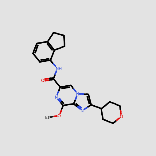 CCOc1nc(C(=O)Nc2cccc3c2CCC3)cn2cc(C3CCOCC3)nc12